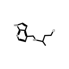 CC(CCCl)NCc1ccnc2[nH]ccc12